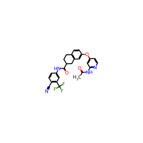 CC(=O)Nc1cc(Oc2ccc3c(c2)CC(C(=O)Nc2ccc(C#N)c(C(F)(F)F)c2)CC3)ccn1